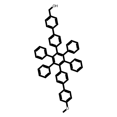 COc1ccc(-c2ccc(-c3c(-c4ccccc4)c(-c4ccccc4)c(-c4ccc(-c5ccc(CO)cc5)cc4)c(-c4ccccc4)c3-c3ccccc3)cc2)cc1